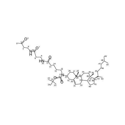 CC(=O)CCNC(=O)CCNC(=O)CCCCN(C(=O)OC(C)(C)C)C1CC[C@@]2(C)C(=CCC3C2CC[C@@]2(C)C3CC[C@@H]2C(C)CCCC(C)C)C1